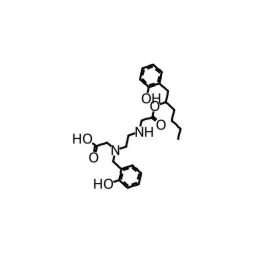 CCCCC(Cc1ccccc1O)OC(=O)CNCCN(CC(=O)O)Cc1ccccc1O